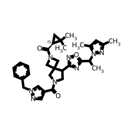 Cc1cc(C)n(C(C)c2nc(C3CN(C(=O)c4cnn(Cc5ccccc5)c4)CC34CN(C(=O)[C@H]3CC3(C)C)C4)no2)n1